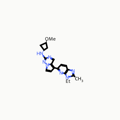 CCn1c(C)nc2ccc(-c3ccn4nc(N[C@H]5C[C@@H](OC)C5)ncc34)nc21